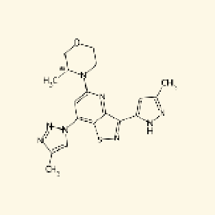 Cc1cn(-c2cc(N3CCOC[C@H]3C)nc3c(-c4cc(C)n[nH]4)nsc23)nn1